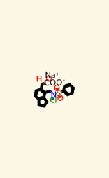 O.O=C([O-])Cc1ccc2c(c1CN(Cl)S(=O)(=O)c1ccccc1)CCC2.[Na+]